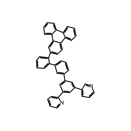 c1ccc(-c2cc(-c3cccnc3)cc(-c3cccc(-c4ccccc4-c4ccc5c6ccccc6c6ccccc6c5c4)c3)c2)nc1